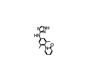 Cc1cc(Nc2nc[nH]n2)cc(C)c1-n1ccccc1=O